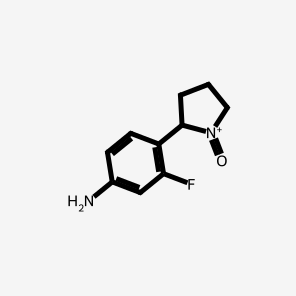 Nc1ccc(C2CCC[N+]2=O)c(F)c1